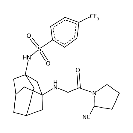 N#CC1CCCN1C(=O)CNC12CC3CC(C1)CC(NS(=O)(=O)c1ccc(C(F)(F)F)cc1)(C3)C2